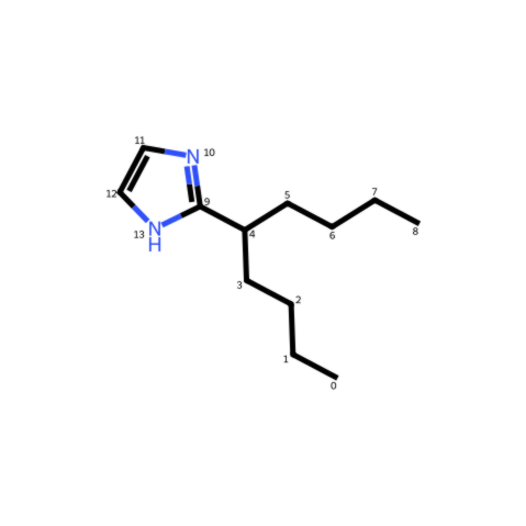 CCCCC(CCCC)c1ncc[nH]1